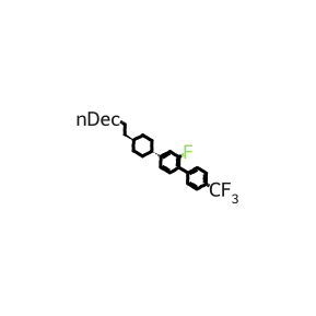 CCCCCCCCCCCC[C@H]1CC[C@H](c2ccc(-c3ccc(C(F)(F)F)cc3)c(F)c2)CC1